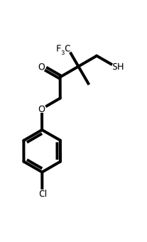 CC(CS)(C(=O)COc1ccc(Cl)cc1)C(F)(F)F